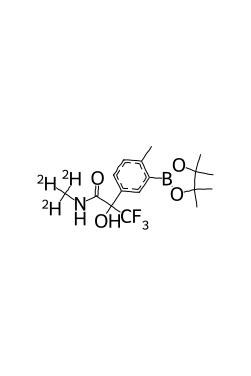 [2H]C([2H])([2H])NC(=O)C(O)(c1ccc(C)c(B2OC(C)(C)C(C)(C)O2)c1)C(F)(F)F